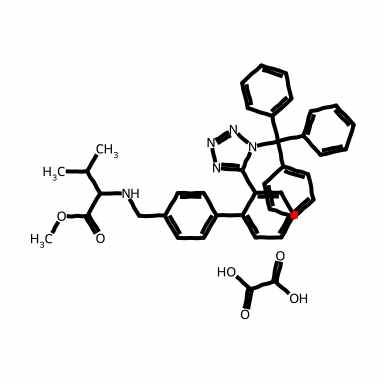 COC(=O)C(NCc1ccc(-c2ccccc2-c2nnnn2C(c2ccccc2)(c2ccccc2)c2ccccc2)cc1)C(C)C.O=C(O)C(=O)O